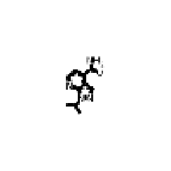 CC(C)n1ncc2c(C(N)=O)ccnc21